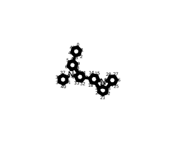 c1ccc(-c2ccc3c(c2)c2cc(-c4ccc5c(c4)c4cccc6c7ccccc7n5c64)ccc2n3-c2ccccc2)cc1